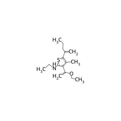 C=C(CCC)c1sc(NCC)c(C(=C)OCC)c1C